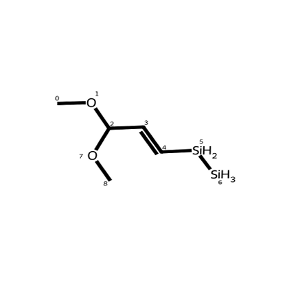 COC(C=C[SiH2][SiH3])OC